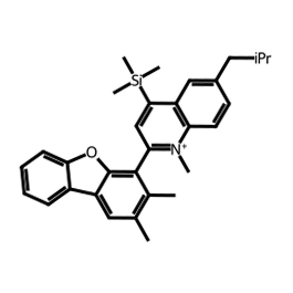 Cc1cc2c(oc3ccccc32)c(-c2cc([Si](C)(C)C)c3cc(CC(C)C)ccc3[n+]2C)c1C